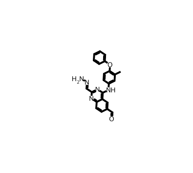 Cc1cc(Nc2nc(C=NN)nc3ccc(C=O)cc23)ccc1Oc1ccccc1